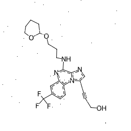 OCC#Cc1cnc2c(NCCCOC3CCCCO3)nc3cc(C(F)(F)F)ccc3n12